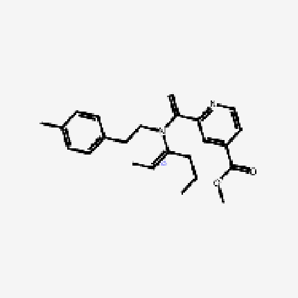 C=C(c1cc(C(=O)OC)ccn1)N(CCc1ccc(C)cc1)/C(=C\C)CCC